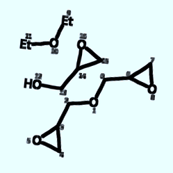 C(OCC1CO1)C1CO1.CCOCC.OCC1CO1